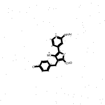 CC(=O)Nc1cc(-c2sc(C=O)c(Cc3ccc(Cl)cc3)c2C#N)ccn1